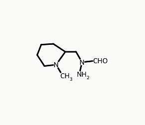 CN1CCCCC1CN(N)C=O